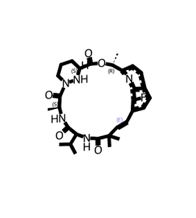 CC(C)C1NC(=O)C(C)(C)/C=C/c2ccc3ccc(nc3c2F)[C@@H](C)OC(=O)[C@@H]2CCCN(N2)C(=O)[C@H](C)NC1=O